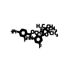 C[C](C)c1ccc(C(=O)Nc2cc(F)cc(B3OC(C)(C)C(C)(C)O3)c2C)c(F)c1